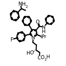 CC(C)c1c(C(=O)Nc2ccccc2)c(-c2ccccc2)c(-c2ccc(F)cc2)n1CC[C@@H](O)CC(=O)O.CC(N)c1ccccc1